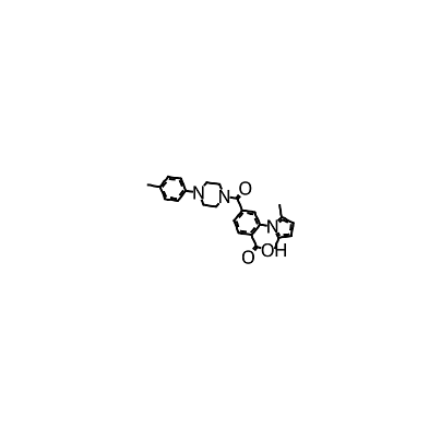 Cc1ccc(N2CCN(C(=O)c3ccc(C(=O)O)c(-n4c(C)ccc4C)c3)CC2)cc1